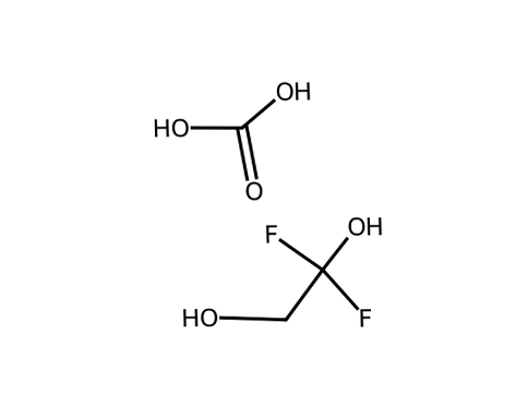 O=C(O)O.OCC(O)(F)F